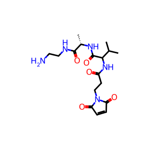 CC(C)C(NC(=O)CCN1C(=O)C=CC1=O)C(=O)N[C@@H](C)C(=O)NCCN